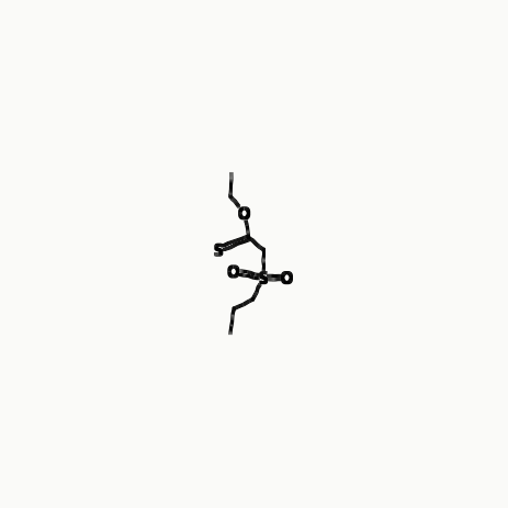 CCCS(=O)(=O)CC(=S)OCC